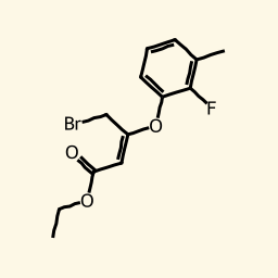 CCOC(=O)C=C(CBr)Oc1cccc(C)c1F